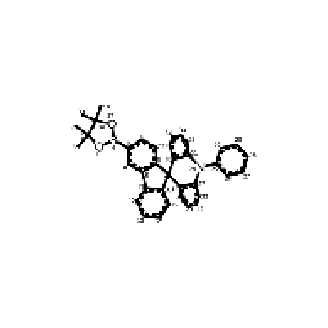 CC1(C)OB(c2ccc3c(c2)-c2ccccc2C32c3ccccc3N(c3ccccc3)c3ccccc32)OC1(C)C